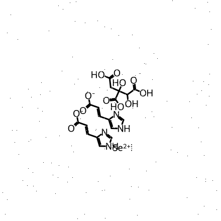 O=C(O)CC(O)(C(=O)O)C(O)C(=O)O.O=C([O-])C=Cc1c[nH]cn1.O=C([O-])C=Cc1c[nH]cn1.[Se+2]